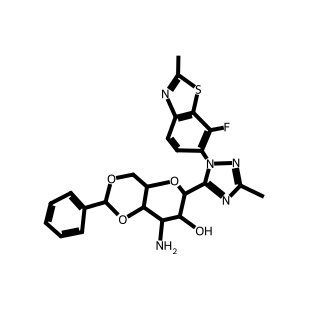 Cc1nc(C2OC3COC(c4ccccc4)OC3C(N)C2O)n(-c2ccc3nc(C)sc3c2F)n1